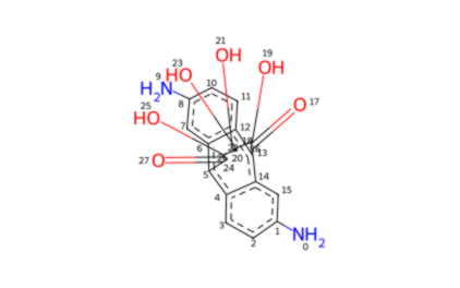 Nc1ccc2c3c4cc(N)ccc4c(c2c1)C(=O)C(O)C(O)C(O)C(O)C3=O